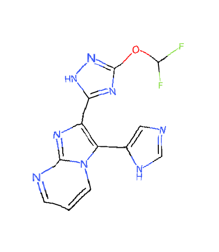 FC(F)Oc1n[nH]c(-c2nc3ncccn3c2-c2cnc[nH]2)n1